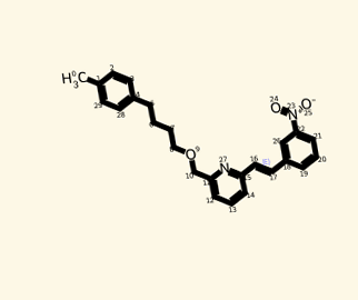 Cc1ccc(CCCCOCc2cccc(/C=C/c3cccc([N+](=O)[O-])c3)n2)cc1